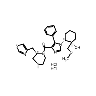 COC[C@]1(O)CCCC[C@H]1n1cnc(C(=O)N2CCNC[C@H]2Cc2cscn2)c1-c1ccccc1.Cl.Cl